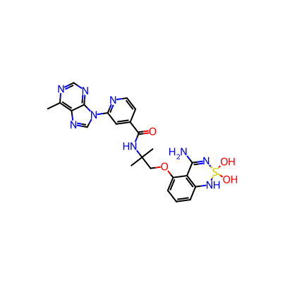 Cc1ncnc2c1ncn2-c1cc(C(=O)NC(C)(C)COc2cccc3c2C(N)=NS(O)(O)N3)ccn1